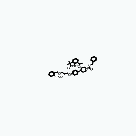 COc1ccccc1COCCCOc1ccc(C2CCN(C(=O)OCc3ccccc3)CC2OC(C)c2cccc3c2NC(=O)C3(C)C)cc1